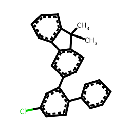 CC1(C)c2ccccc2-c2cc(-c3cc(Cl)ccc3-c3ccccc3)ccc21